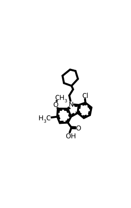 COc1c(C)cc(C(=O)O)c2c3cccc(Cl)c3n(CCC3CCCCC3)c12